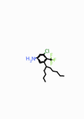 CCCCCC(CCCC)c1cc(N)cc(Cl)c1C(F)(F)F